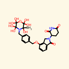 BC1(O)N(Cc2ccc(COc3cccc4c3CN(C3CCC(=O)NC3=O)C4=O)cc2)C(O)(O)C(O)(O)OC1(O)O